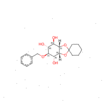 O[C@@H]1[C@@H](O)[C@@H]2OC3(CCCCC3)O[C@@H]2[C@H](O)[C@H]1OCc1ccccc1